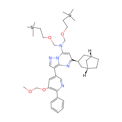 COCOc1cc(-c2cnn3c(N(COCC[Si](C)(C)C)COCC[Si](C)(C)C)cc([C@H]4C[C@@H]5CC[C@@H](C5)C4)nc23)cnc1-c1ccccc1